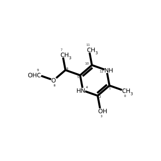 CC1=C(O)NC(C(C)OC=O)=C(C)N1